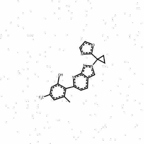 Cc1cc(C(F)(F)F)cc(O)c1-c1ccc2cn(C3(c4ncco4)CC3)nc2n1